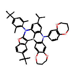 Cc1cc(C(C)(C)C)cc(C)c1N1c2cc(C(C)C)cc3c2B(c2cc4c(cc2N3c2ccc3c(c2)OCCCO3)OCCCO4)c2c1oc1ccc(C(C)(C)C)cc21